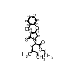 CCOC(=O)C(CC(C)CC)N1CC(Oc2ccccc2Cl)=CC1=O